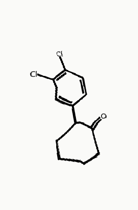 O=C1CCCCC1c1ccc(Cl)c(Cl)c1